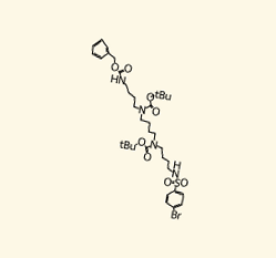 CC(C)(C)OC(=O)N(CCCCNC(=O)OCc1ccccc1)CCCCN(CCCCNS(=O)(=O)c1ccc(Br)cc1)C(=O)OC(C)(C)C